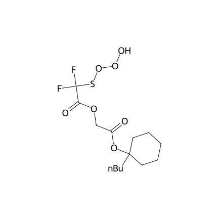 CCCCC1(OC(=O)COC(=O)C(F)(F)SOOO)CCCCC1